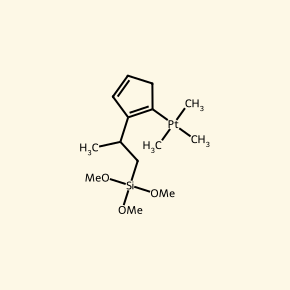 CO[Si](CC(C)C1=[C]([Pt]([CH3])([CH3])[CH3])CC=C1)(OC)OC